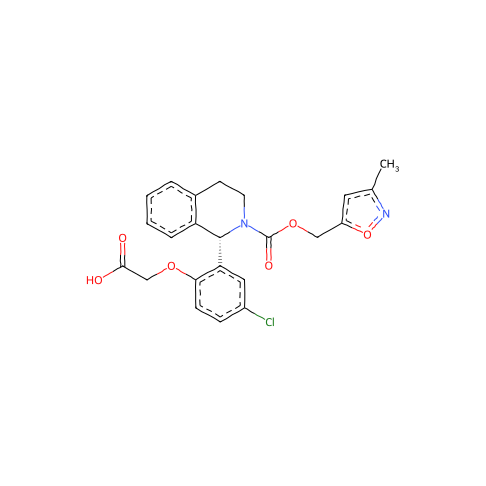 Cc1cc(COC(=O)N2CCc3ccccc3[C@H]2c2cc(Cl)ccc2OCC(=O)O)on1